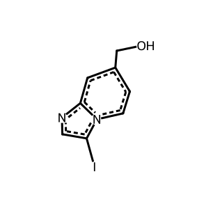 OCc1ccn2c(I)cnc2c1